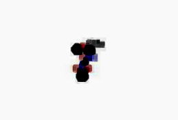 COc1ccc(NC(=O)CCN2C(=O)c3ccccc3C2=O)cc1OC1CCCC1